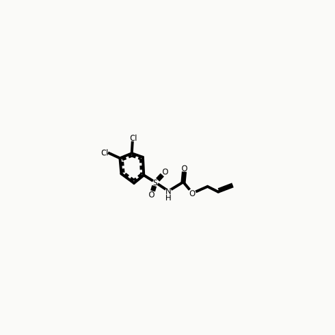 C=CCOC(=O)NS(=O)(=O)c1ccc(Cl)c(Cl)c1